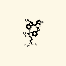 CC(=O)Nc1cc(Nc2nc(-c3cn(C)c4ccccc34)c3cc[nH]c3n2)ccc1N(C)CCN(C)C